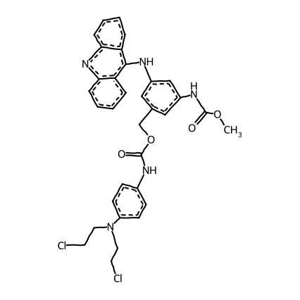 COC(=O)Nc1cc(COC(=O)Nc2ccc(N(CCCl)CCCl)cc2)cc(Nc2c3ccccc3nc3ccccc23)c1